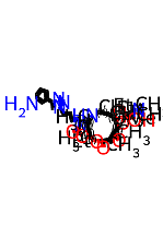 CCO[C@@H](O[C@@H]1[C@@H](C)C(=O)C(C)C(=O)O[C@H](CC)[C@@]2(C)OC(=O)N(CCCCn3cc(-c4cccc(N)c4)nn3)[C@@H]2[C@@H](C)NC[C@H](C)C[C@@]1(C)OC)C(O)C(CC)N(C)C